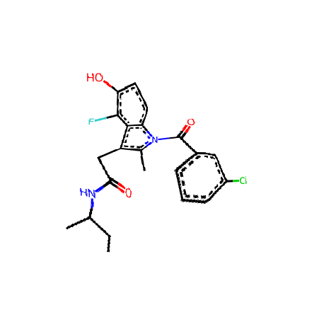 CCC(C)NC(=O)Cc1c(C)n(C(=O)c2cccc(Cl)c2)c2ccc(O)c(F)c12